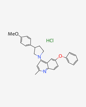 COc1ccc(C2CCN(c3cc(C)nc4ccc(Oc5ccccc5)cc34)C2)cc1.Cl